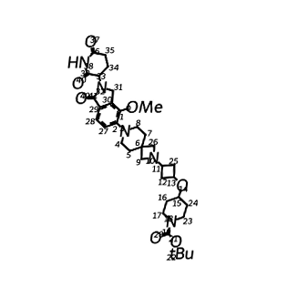 COc1c(N2CCC3(CC2)CN(C2CC(OC4CCN(C(=O)OC(C)(C)C)CC4)C2)C3)ccc2c1CN(C1CCC(=O)NC1=O)C2=O